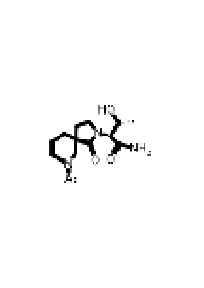 CC(=O)N1CCCC2(CCN([C@H](C(N)=O)[C@@H](C)O)C2=O)C1